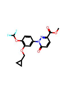 COC(=O)c1ccc(=O)n(-c2ccc(OC(F)F)c(OCC3CC3)c2)n1